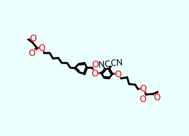 N#Cc1c(OCCCCCOC(=O)C2CO2)ccc(OC(=O)c2ccc(CCCCCCCOC(=O)C3CO3)cc2)c1C#N